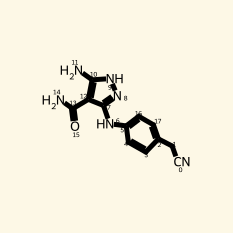 N#CCc1ccc(Nc2n[nH]c(N)c2C(N)=O)cc1